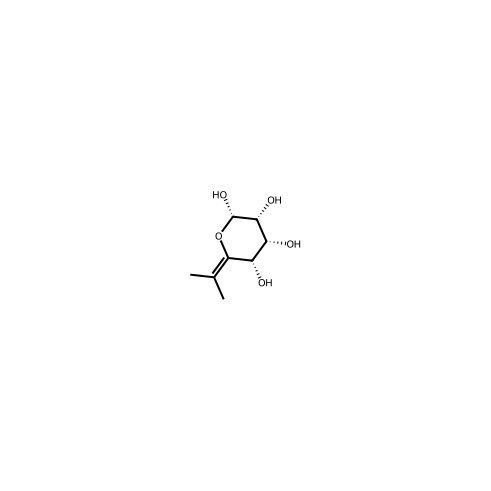 CC(C)=C1O[C@H](O)[C@H](O)[C@H](O)[C@@H]1O